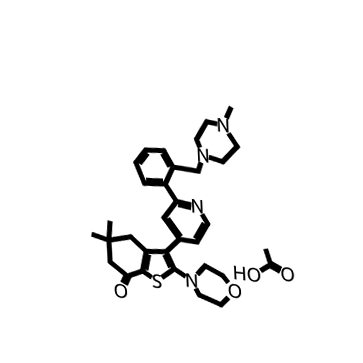 CC(=O)O.CN1CCN(Cc2ccccc2-c2cc(-c3c(N4CCOCC4)sc4c3CC(C)(C)CC4=O)ccn2)CC1